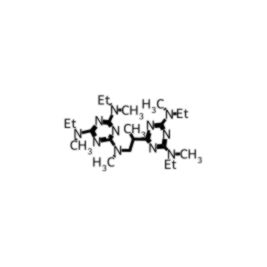 CCN(C)c1nc(C(C)CN(C)c2nc(N(C)CC)nc(N(C)CC)n2)nc(N(C)CC)n1